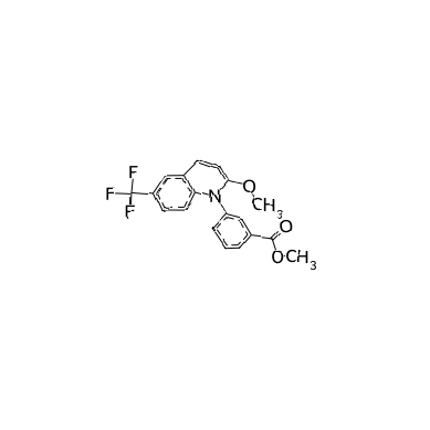 COC(=O)c1cccc(N2C(OC)=C=Cc3cc(C(F)(F)F)ccc32)c1